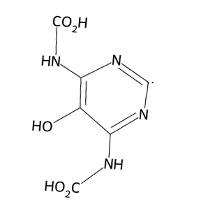 O=C(O)Nc1n[c]nc(NC(=O)O)c1O